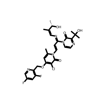 C/C(=C/N=C(\C=C\n1c(C)cc(OCc2ncc(F)cc2F)c(Cl)c1=O)n1ccnc(C(C)(C)O)c1=O)[C@H](C)O